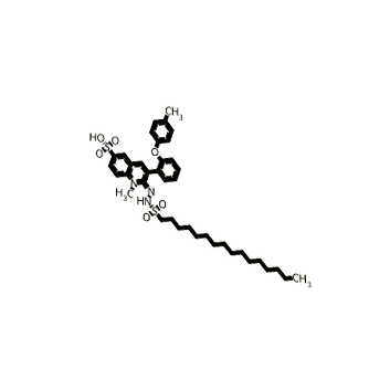 CCCCCCCCCCCCCCCCS(=O)(=O)NN=c1c(-c2ccccc2Oc2ccc(C)cc2)cc2cc(S(=O)(=O)O)ccc2n1C